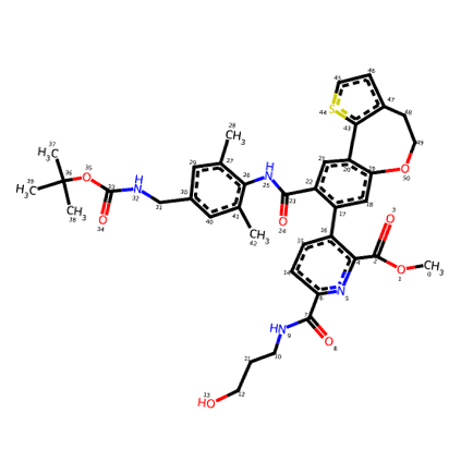 COC(=O)c1nc(C(=O)NCCCO)ccc1-c1cc2c(cc1C(=O)Nc1c(C)cc(CNC(=O)OC(C)(C)C)cc1C)-c1sccc1CCO2